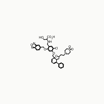 O=C(O)C(CO)NCc1cc(Cl)c(OCC2(OCCCN3CCS(=O)(=O)CC3)C=CC=C(c3ccccc3)C2F)cc1OCc1ccc2nonc2c1